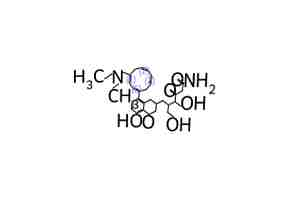 CCCN(CCC)C/C1=C/C=C(/c2ccc(O)c3c2CC(CC(CCO)C(CO)C(=O)CC(N)=O)CC3=O)C/C=C\C=C/C1